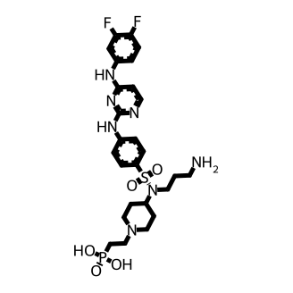 NCCCN(C1CCN(CCP(=O)(O)O)CC1)S(=O)(=O)c1ccc(Nc2nccc(Nc3ccc(F)c(F)c3)n2)cc1